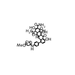 CON(C)CC(=O)Nc1ccc(-c2ccc(O)c3c2C[C@@H]2CC4[C@@H](N(C)C)C(O)=C(C(N)=O)C(=O)[C@]4(O)C(O)=C2C3=O)cc1